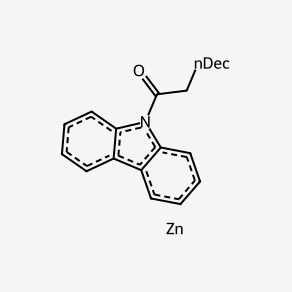 CCCCCCCCCCCC(=O)n1c2ccccc2c2ccccc21.[Zn]